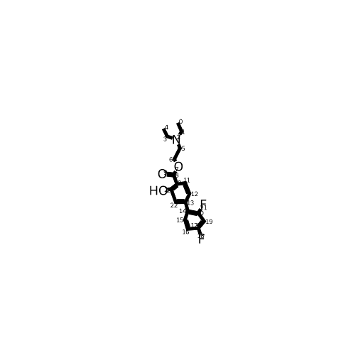 CCN(CC)CCOC(=O)c1ccc(-c2ccc(F)cc2F)cc1O